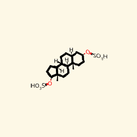 C[C@]12CC[C@@H](OS(=O)(=O)O)C[C@@H]1CC[C@@H]1[C@@H]2CC[C@]2(C)[C@H](OS(=O)(=O)O)CC[C@@H]12